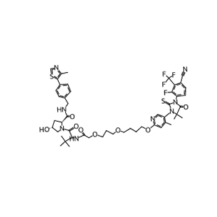 Cc1cc(OCCCCOCCCOCC(=O)N[C@H](C(=O)N2C[C@H](O)C[C@H]2C(=O)NCc2ccc(-c3scnc3C)cc2)C(C)(C)C)ncc1N1C(=S)N(c2ccc(C#N)c(C(F)(F)F)c2F)C(=O)C1(C)C